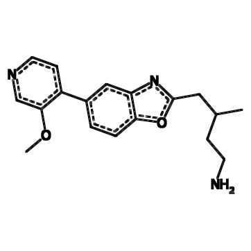 COc1cnccc1-c1ccc2oc(CC(C)CCN)nc2c1